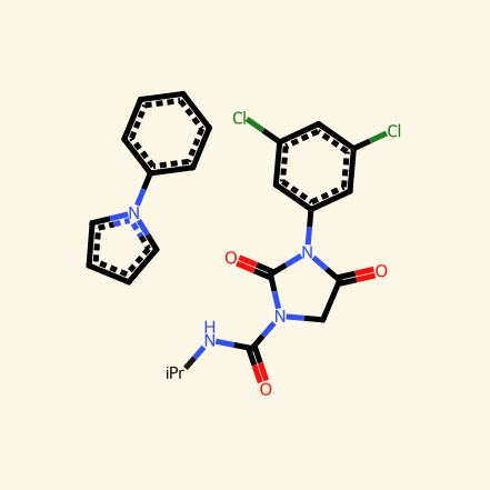 CC(C)NC(=O)N1CC(=O)N(c2cc(Cl)cc(Cl)c2)C1=O.c1ccc(-n2cccc2)cc1